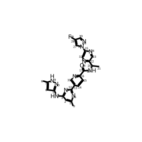 Cc1cc(Nc2cc(C)[nH]n2)nc(-c2ccc(C(=O)NC(C)c3cnc(-n4cc(F)cn4)cn3)nc2)n1